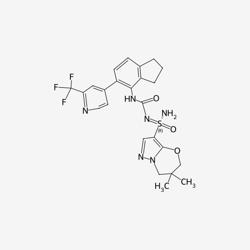 CC1(C)COc2c([S@](N)(=O)=NC(=O)Nc3c(-c4ccnc(C(F)(F)F)c4)ccc4c3CCC4)cnn2C1